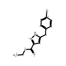 CCOC(=O)c1cc(Cc2ccc(Br)cc2)[nH]n1